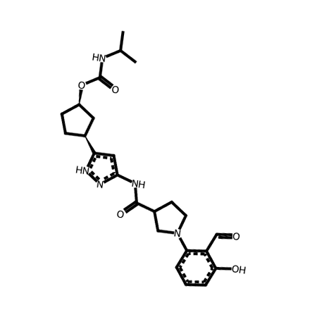 CC(C)NC(=O)O[C@@H]1CC[C@H](c2cc(NC(=O)C3CCN(c4cccc(O)c4C=O)C3)n[nH]2)C1